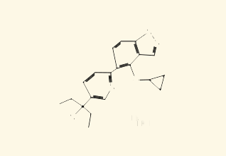 CCC(N)(CC)c1ccc(-c2ccc3[nH]ncc3c2OC2CC2)nc1.Cl.Cl.Cl